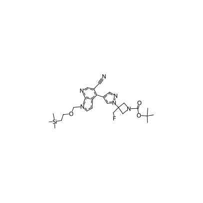 CC(C)(C)OC(=O)N1CC(CF)(n2cc(-c3c(C#N)cnc4c3ccn4COCC[Si](C)(C)C)cn2)C1